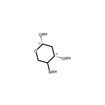 CNC1CO[C@H](OC)C[C@@H]1OC